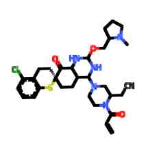 C=CC(=O)N1CCN(C2NC(OCC3CCCN3C)NC3C(=O)[C@@]4(CCc5c(Cl)cccc5S4)CCC32)CC1CC#N